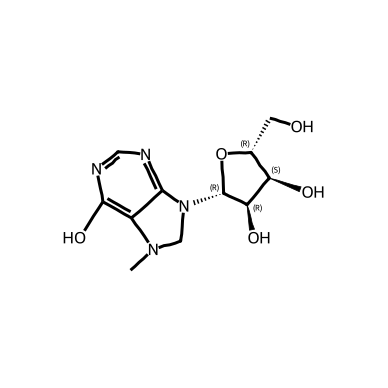 CN1CN([C@@H]2O[C@H](CO)[C@@H](O)[C@H]2O)c2ncnc(O)c21